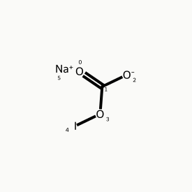 O=C([O-])OI.[Na+]